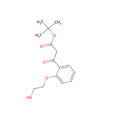 CC(C)(C)OC(=O)CC(=O)c1ccccc1OCCO